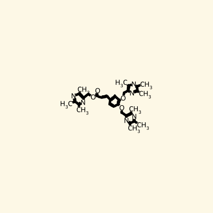 Cc1nc(C)c(COC(=O)C=Cc2ccc(OCc3nc(C)c(C)nc3C)c(OCc3nc(C)c(C)nc3C)c2)nc1C